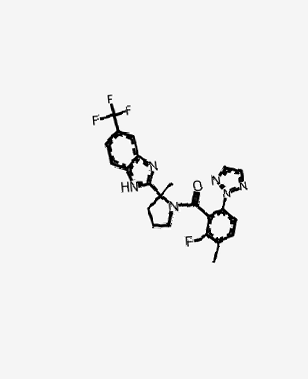 Cc1ccc(-n2nccn2)c(C(=O)N2CCCC2(C)c2nc3cc(C(F)(F)F)ccc3[nH]2)c1F